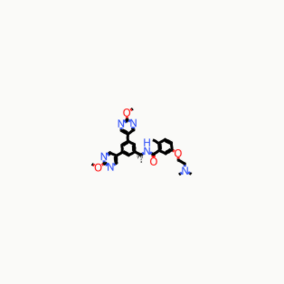 COc1ncc(-c2cc(-c3cnc(OC)nc3)cc([C@@H](C)NC(=O)c3cc(OCCN(C)C)ccc3C)c2)cn1